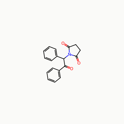 O=C(c1ccccc1)C(c1ccccc1)N1C(=O)CCC1=O